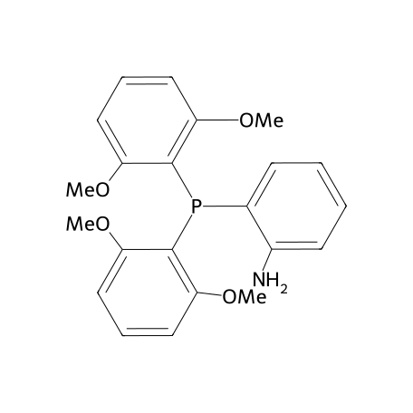 COc1cccc(OC)c1P(c1ccccc1N)c1c(OC)cccc1OC